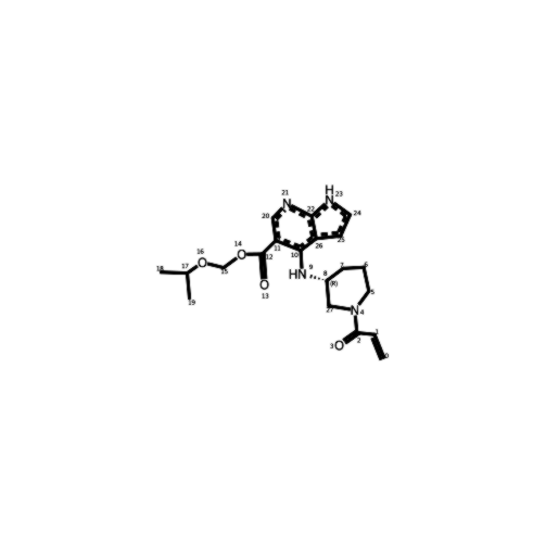 C=CC(=O)N1CCC[C@@H](Nc2c(C(=O)OCOC(C)C)cnc3[nH]ccc23)C1